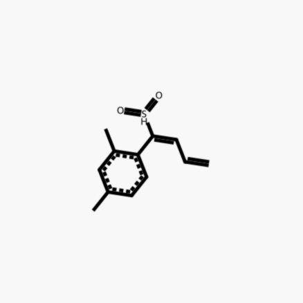 C=C/C=C(\c1ccc(C)cc1C)[SH](=O)=O